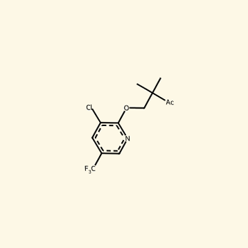 CC(=O)C(C)(C)COc1ncc(C(F)(F)F)cc1Cl